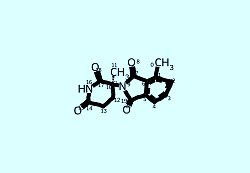 Cc1cccc2c1C(=O)N([C@@]1(C)CCC(=O)NC1=O)C2=O